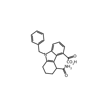 NC(=O)C1CCCc2c1c1c(C(=O)C(=O)O)cccc1n2Cc1ccccc1